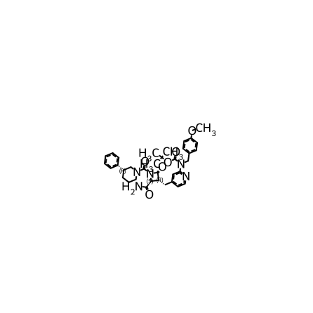 COc1ccc(CN(C(=O)OC(C)(C)C)c2cc(C[C@H]3C(=O)N(C(=O)N4CCC[C@H](c5ccccc5)C4)[C@@H]3C(N)=O)ccn2)cc1